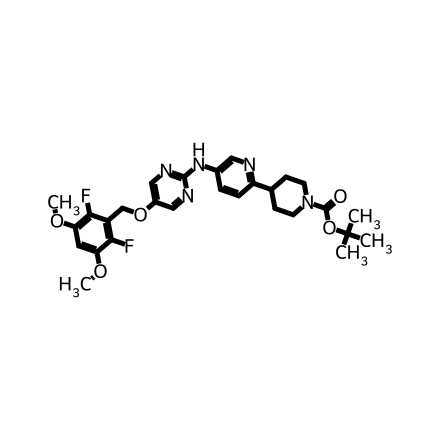 COc1cc(OC)c(F)c(COc2cnc(Nc3ccc(C4CCN(C(=O)OC(C)(C)C)CC4)nc3)nc2)c1F